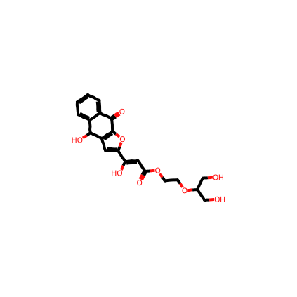 O=C(/C=C(\O)c1cc2c(o1)C(=O)c1ccccc1C2O)OCCOC(CO)CO